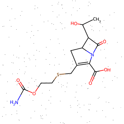 CC(O)C1C(=O)N2C(C(=O)O)=C(CSCCOC(N)=O)CC12